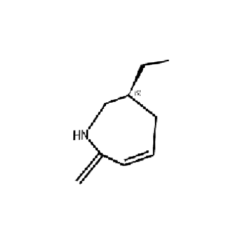 C=C1C=CC[C@H](CC)CN1